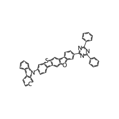 c1ccc(-c2nc(-c3ccccc3)nc(-c3ccc4c(c3)oc3cc5c(cc34)sc3cc(-n4c6ccccc6c6ccccc64)ccc35)n2)cc1